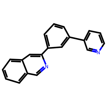 c1cncc(-c2cccc(-c3cc4ccccc4cn3)c2)c1